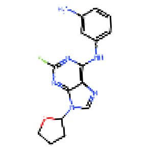 Nc1cccc(Nc2nc(F)nc3c2ncn3C2CCCO2)c1